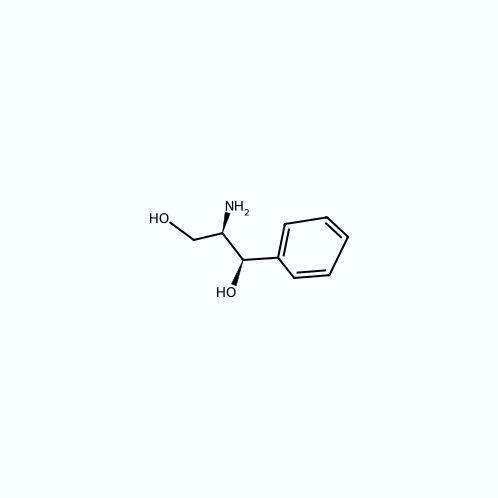 N[C@H](CO)[C@H](O)c1ccccc1